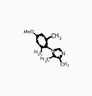 COc1cc(C)c(-n2cnc(C)c2C)c(C)c1